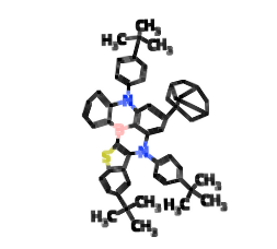 CC(C)(C)c1ccc(N2c3ccccc3B3c4sc5ccc(C(C)(C)C)cc5c4N(c4ccc(C(C)(C)C)cc4)c4cc(C56CC7CC(CC(C7)C5)C6)cc2c43)cc1